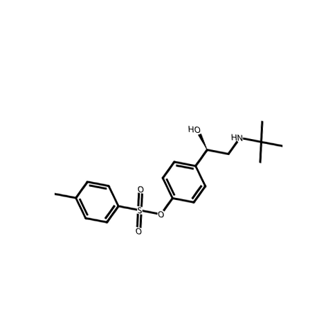 Cc1ccc(S(=O)(=O)Oc2ccc([C@@H](O)CNC(C)(C)C)cc2)cc1